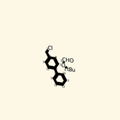 CC(C)(C)OC=O.ClCc1ccc(-c2ccccc2)cc1